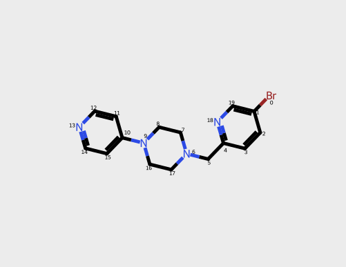 Brc1ccc(CN2CCN(c3ccncc3)CC2)nc1